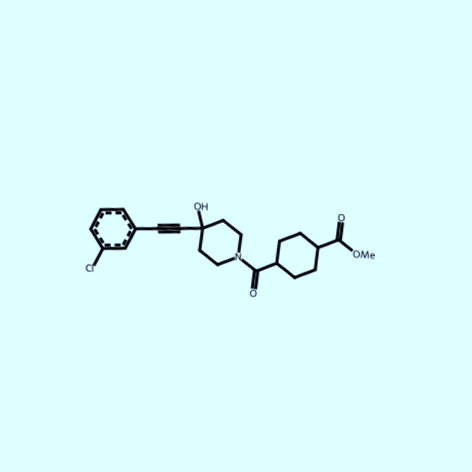 COC(=O)C1CCC(C(=O)N2CCC(O)(C#Cc3cccc(Cl)c3)CC2)CC1